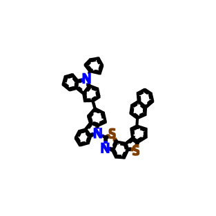 c1ccc(-n2c3ccccc3c3cc(-c4ccc5c(c4)c4ccccc4n5-c4nc5ccc6sc7ccc(-c8ccc9ccccc9c8)cc7c6c5s4)ccc32)cc1